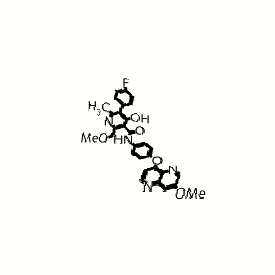 COCc1nc(C)c(-c2ccc(F)cc2)c(O)c1C(=O)Nc1ccc(Oc2ccnc3cc(OC)cnc23)cc1